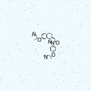 CC(CN(C)C)Oc1ccc(-n2nc3c(cc2=O)CCc2ccc(OC(C)CN(C)C)cc2-3)cc1